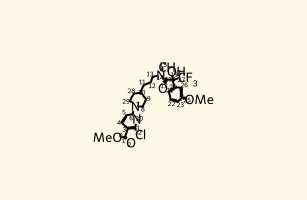 COC(=O)c1ccc(N2CCC(CCCN(C)C(=O)C(O)(c3cccc(OC)c3)C(F)(F)F)CC2)nc1Cl